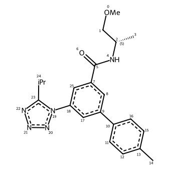 COC[C@H](C)NC(=O)c1cc(-c2ccc(C)cc2)cc(-n2nnnc2C(C)C)c1